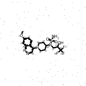 COc1ccc2c(N3CCC(N(CC(O)C(F)(F)F)S(N)(=O)=O)CC3)cnnc2c1